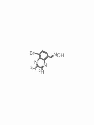 [2H]c1nc2c(Br)ccc(C=NO)c2nc1[2H]